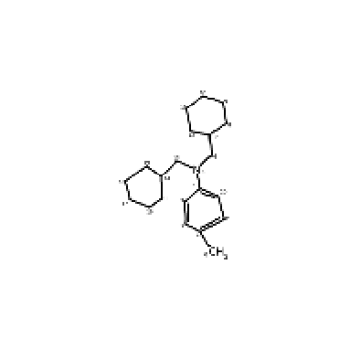 Cc1ccc(N(CC2CCCCC2)CC2CCCCC2)cc1